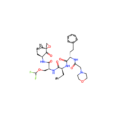 CC(C)C[C@H](NC(=O)[C@H](CCc1ccccc1)NC(=O)CN1CCOCC1)C(=O)N[C@@H](COC(F)F)C(=O)N[C@@H](CC(C)C)C(=O)[C@]1(C)CO1